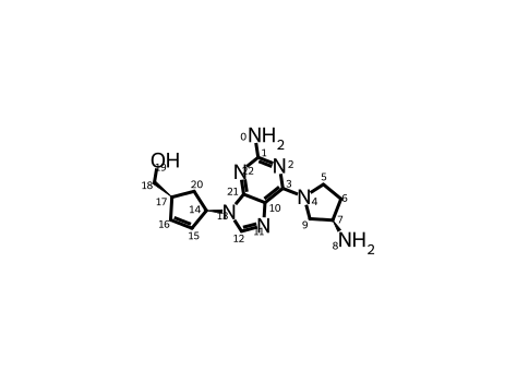 Nc1nc(N2CC[C@@H](N)C2)c2ncn([C@H]3C=C[C@@H](CO)C3)c2n1